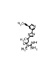 CC#Cc1cncc(-c2ncc([C@H](C)CC(=O)N(C)C(=N)N)s2)c1